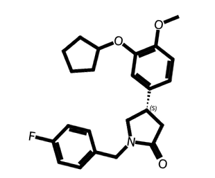 COc1ccc([C@@H]2CC(=O)N(Cc3ccc(F)cc3)C2)cc1OC1CCCC1